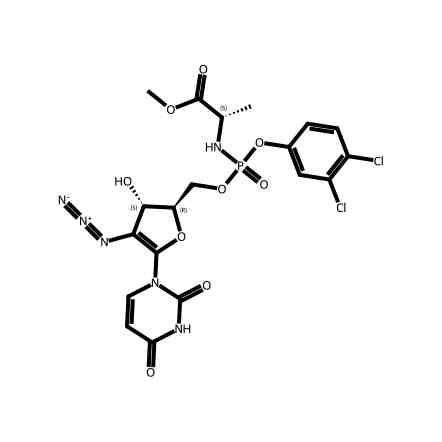 COC(=O)[C@H](C)NP(=O)(OC[C@H]1OC(n2ccc(=O)[nH]c2=O)=C(N=[N+]=[N-])[C@@H]1O)Oc1ccc(Cl)c(Cl)c1